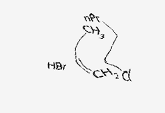 Br.C=CC.CCCCCCl